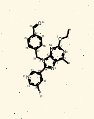 CCOc1nc(C)c2nc(-c3cncc(F)c3)n(Cc3ccc(C=O)cc3)c2n1